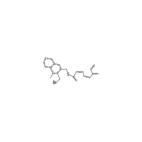 C=CC(=C)/C=C\C=C/C(=C)SCc1cc2ccccc2c(C)c1CBr